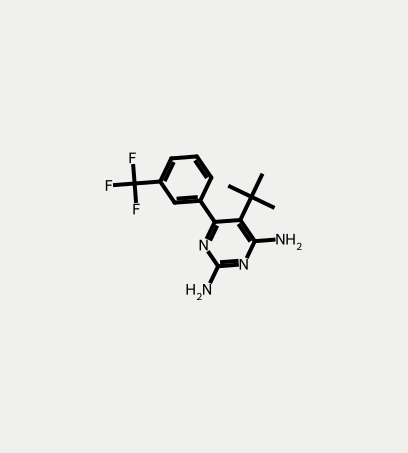 CC(C)(C)c1c(N)nc(N)nc1-c1cccc(C(F)(F)F)c1